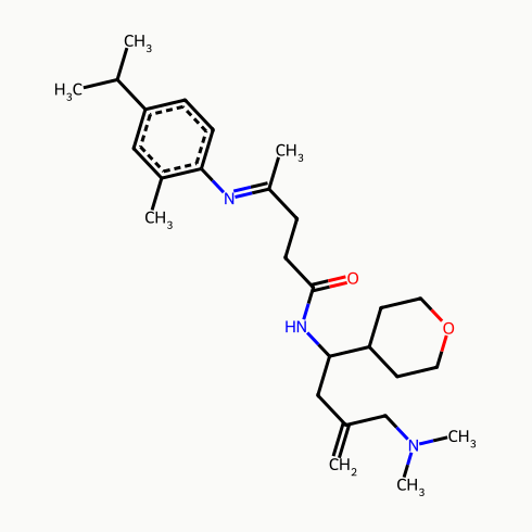 C=C(CC(NC(=O)CC/C(C)=N/c1ccc(C(C)C)cc1C)C1CCOCC1)CN(C)C